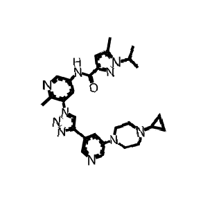 Cc1ncc(NC(=O)c2cc(C)n(C(C)C)n2)cc1-n1cc(-c2cncc(N3CCN(C4CC4)CC3)c2)nn1